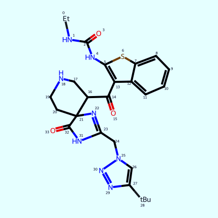 CCNC(=O)Nc1sc2ccccc2c1C(=O)C1CNCCC12N=C(Cn1cc(C(C)(C)C)nn1)NC2=O